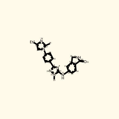 CCc1cn(-c2ccc(-c3nc(Nc4ccc5c(c4)CNC5=O)n(C)n3)cc2)c(C)n1